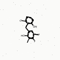 Cc1c(O)c(Cc2c(O)cccc2Cl)cc(F)c1F